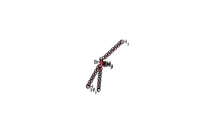 COCCOCCOCCOCCOCCOCCOCCOCCOCCOCCOCCOCCCC(=O)N1Cc2cc(Br)cc3c2-c2c(cc(B4OC(C)(C)C(C)(C)O4)cc2C3(CCCOCCOCCOCCOCCOCCOCCOCCOCCOCCOCCOCCOC)CCCOCCOCCOCCOCCOCCOCCOCCOCCOCCOCCOCCOC)C1